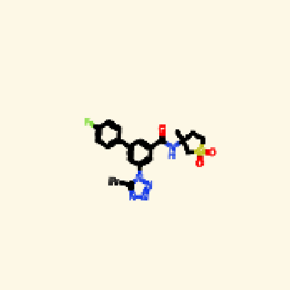 CC(C)c1nnnn1-c1cc(C(=O)NC2(C)CCS(=O)(=O)C2)cc(-c2ccc(F)cc2)c1